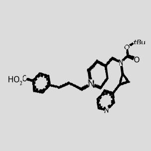 CC(C)(C)OC(=O)N(CC1CCN(CCCc2ccc(C(=O)O)cc2)CC1)C1CC1c1cccnc1